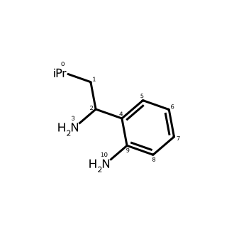 CC(C)CC(N)c1ccccc1N